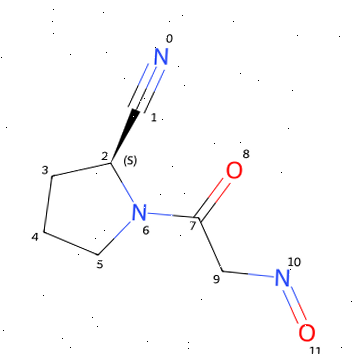 N#C[C@@H]1CCCN1C(=O)CN=O